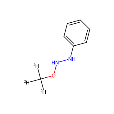 [2H]C([2H])([2H])ONNc1ccccc1